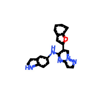 c1ccc2oc(-c3cn4nccc4nc3Nc3ccc4[nH]ccc4c3)cc2c1